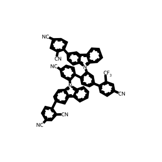 N#Cc1ccc(-c2ccc3c(c2)c2ccccc2n3-c2cc(C#N)ccc2-c2ccc(-c3ccc(C#N)cc3C(F)(F)F)cc2-n2c3ccccc3c3cc(-c4ccc(C#N)cc4C#N)ccc32)c(C#N)c1